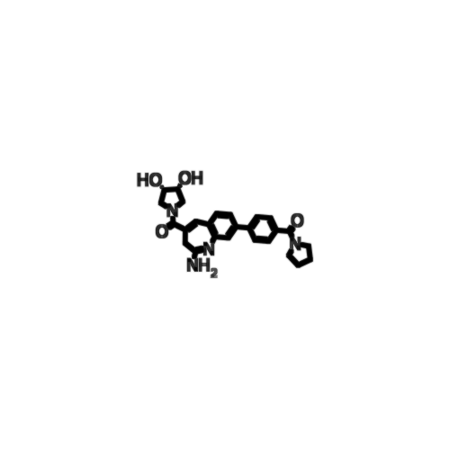 NC1=Nc2cc(-c3ccc(C(=O)N4CCCC4)cc3)ccc2C=C(C(=O)N2C[C@H](O)[C@@H](O)C2)C1